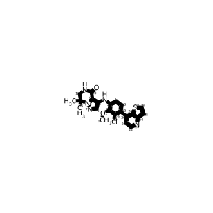 COc1c(Nc2cnn3c2C(=O)NCC3(C)C)ccc(-c2ccnc3ccsc23)c1Cl